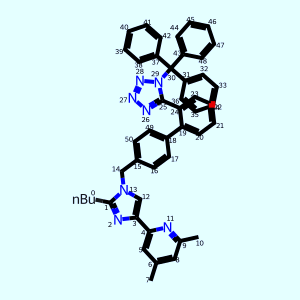 CCCCc1nc(-c2cc(C)cc(C)n2)cn1Cc1ccc(-c2ccccc2-c2nnnn2C(c2ccccc2)(c2ccccc2)c2ccccc2)cc1